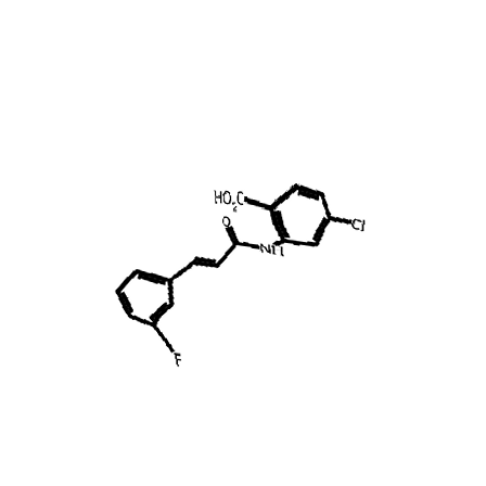 O=C(/C=C/c1cccc(F)c1)Nc1cc(Cl)ccc1C(=O)O